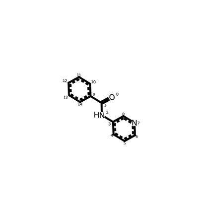 O=C(Nc1cccnc1)c1ccccc1